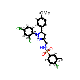 COc1ccc(C2CC(CNS(=O)(=O)c3ccc(F)c(C)c3)=NN2c2ccc(Cl)cc2Cl)cc1